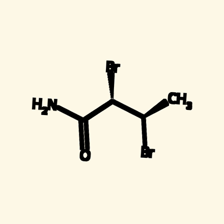 C[C@@H](Br)[C@@H](Br)C(N)=O